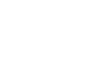 Fc1cc(F)cc(-c2cccc(Cl)c2)c1